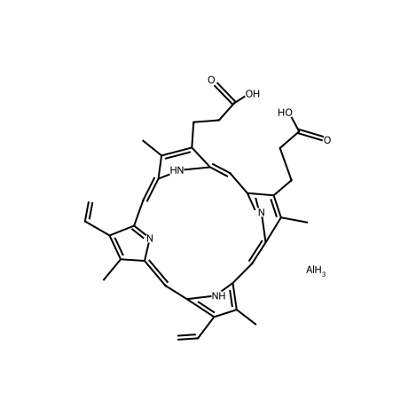 C=CC1=C(C)c2cc3[nH]c(cc4nc(cc5[nH]c(cc1n2)c(C)c5CCC(=O)O)C(CCC(=O)O)=C4C)c(C)c3C=C.[AlH3]